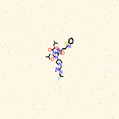 C=N/C(CN1CCC(N2C[C@@H]3N(C(=O)/C=C/c4nc5ccccc5s4)O[C@H](CC(C)C)C(=O)N3[C@@H](CC(C)C)C2=O)CC1)=N\C=C(/C)F